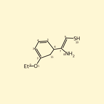 CCOC1=CC=CC(/C(N)=C/S)C1